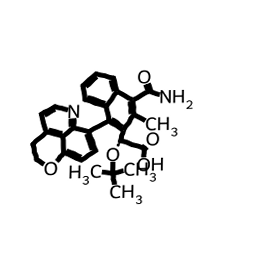 Cc1c([C@@H](OC(C)(C)C)C(=O)O)c(-c2ccc3c4c(ccnc24)CCO3)c2ccccc2c1C(N)=O